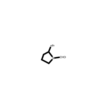 CCCC1CCCN1[C]=O